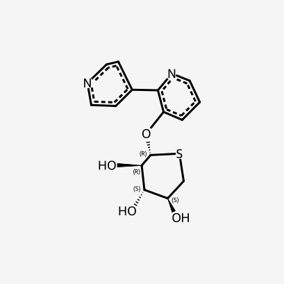 O[C@@H]1[C@@H](O)[C@H](Oc2cccnc2-c2ccncc2)SC[C@H]1O